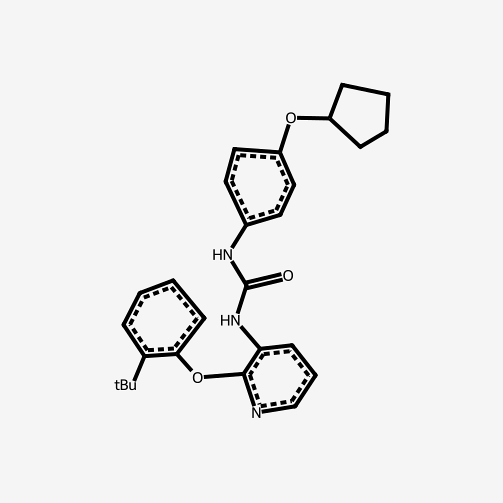 CC(C)(C)c1ccccc1Oc1ncccc1NC(=O)Nc1ccc(OC2CCCC2)cc1